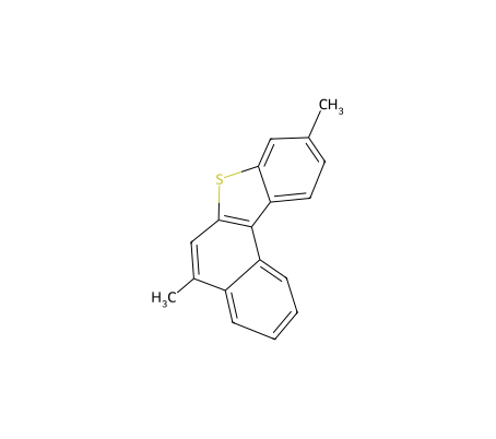 Cc1ccc2c(c1)sc1cc(C)c3ccccc3c12